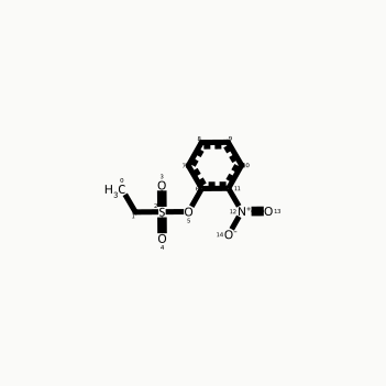 CCS(=O)(=O)Oc1ccccc1[N+](=O)[O-]